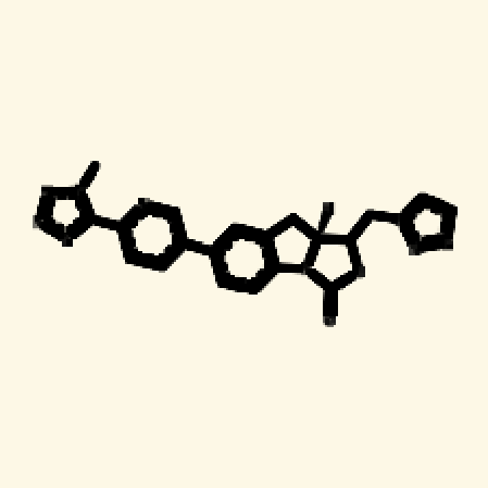 Cn1nnnc1-c1ccc(-c2ccc3c(c2)C[C@H]2C(Cn4ccnn4)OC(=O)N32)cn1